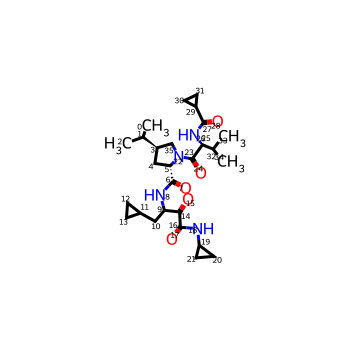 CC(C)[C@@H]1C[C@@H](C(=O)NC(CC2CC2)C(=O)C(=O)NC2CC2)N(C(=O)[C@@H](NC(=O)C2CC2)C(C)C)C1